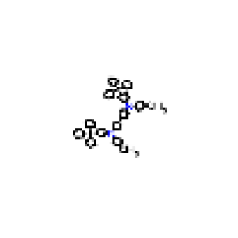 Cc1ccc(N(c2ccc(-c3ccc(N(c4ccc(C)cc4)c4ccc(C(c5ccccc5)(c5ccccc5)c5ccccc5)cc4)cc3)cc2)c2ccc(C(c3ccccc3)(c3ccccc3)c3ccccc3)cc2)cc1